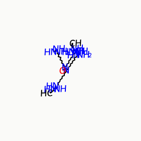 C#CCNC(=N)NCCCCCCCCCN(CCCCCCCCCNC(=N)N)C(=O)N(CCCCCCCCCNC(=N)N)CCCCCCCCCNC(=N)NCC#C